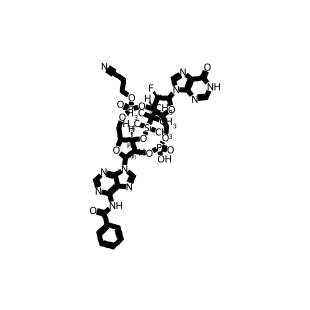 CC(C)(C)[Si](C)(C)O[C@@H]1C2COP(=O)(OCCC#N)O[C@@H]3C(COP(=O)(O)O[C@H]1C(n1cnc4c(NC(=O)c5ccccc5)ncnc41)O2)OC(n1cnc2c(=O)[nH]cnc21)[C@@H]3F